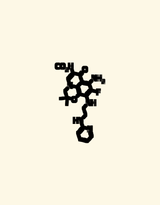 CC1(C)Cn2cc(C(=O)O)c(=O)c3c(N)c(F)c(NCCNc4ccccn4)c(c32)O1